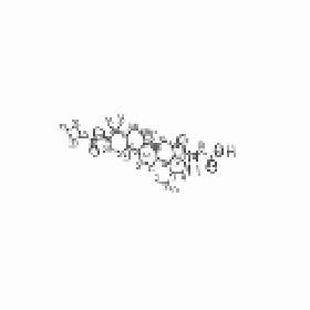 CC(C)C1CC[C@]2(C(=O)NCC(=O)O)CC[C@]3(C)C(CCC4C5(C)CC[C@@H](OC(=O)C6CCC6)C(C)(C)C5CC[C@]43C)C12